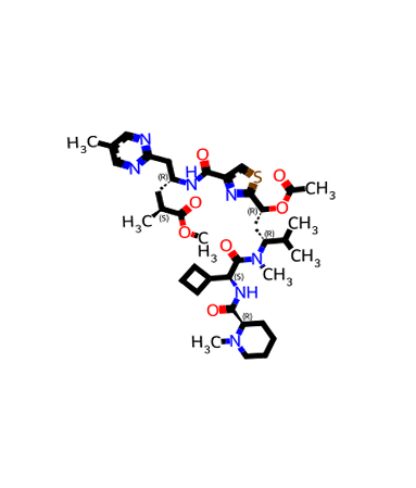 COC(=O)[C@@H](C)C[C@H](Cc1ncc(C)cn1)NC(=O)c1csc([C@@H](C[C@H](C(C)C)N(C)C(=O)[C@@H](NC(=O)[C@H]2CCCCN2C)C2CCC2)OC(C)=O)n1